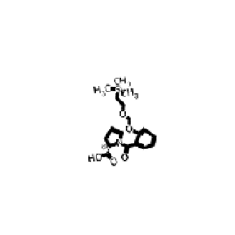 C[Si](C)(C)CCOCOc1ccccc1C(=O)N1C=CC[C@H]1C(=O)O